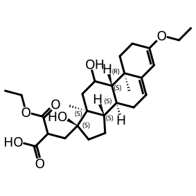 CCOC(=O)C(C[C@@]1(O)CC[C@H]2[C@@H]3CC=C4C=C(OCC)CC[C@]4(C)[C@H]3C(O)C[C@@]21C)C(=O)O